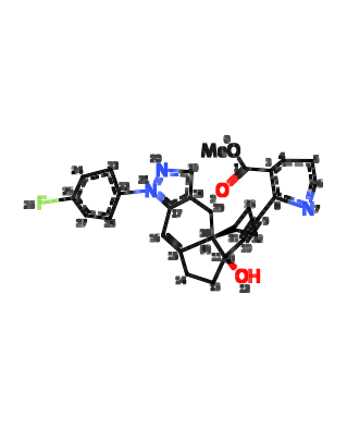 COC(=O)c1cccnc1C#C[C@]1(O)CCC2=Cc3c(cnn3-c3ccc(F)cc3)C[C@@]21C1CC1